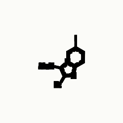 CCc1nc2ccc(I)cn2c1NC